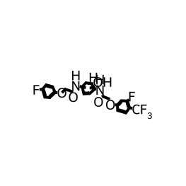 O=C(COc1ccc(F)cc1)NC12CCC(NC(=O)COc3ccc(C(F)(F)F)c(F)c3)(CC1)[C@@H](O)C2